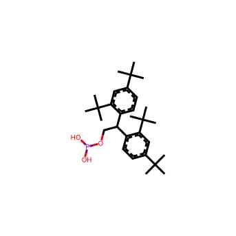 CC(C)(C)c1ccc(C(COP(O)O)c2ccc(C(C)(C)C)cc2C(C)(C)C)c(C(C)(C)C)c1